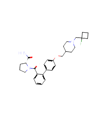 NC(=O)[C@@H]1CCCN1C(=O)c1ccccc1-c1ccc(OCC2CCN(CC3(F)CCC3)CC2)cc1